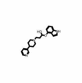 OC(CCN1CCC(c2cccnc2)CC1)Oc1cccc2[nH]ccc12